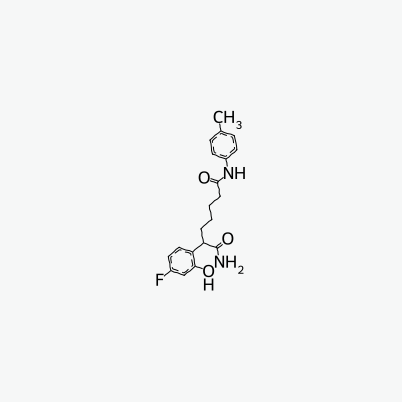 Cc1ccc(NC(=O)CCCCC(C(N)=O)c2ccc(F)cc2O)cc1